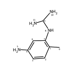 Cc1ccc(N)cc1NC(N)N